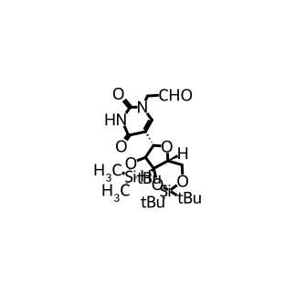 CC(C)(C)[Si](C)(C)OC1[C@H]2O[Si](C(C)(C)C)(C(C)(C)C)OC[C@H]2O[C@H]1c1cn(CC=O)c(=O)[nH]c1=O